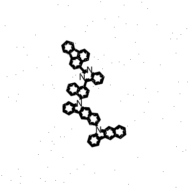 c1ccc2c(c1)-c1cccc3c(-c4nc(-c5ccc(-n6c7ccccc7c7cc8cc(-n9c%10ccccc%10c%10cc%11ccccc%11cc%109)ccc8cc76)c6ccccc56)c5ccccc5n4)ccc-2c13